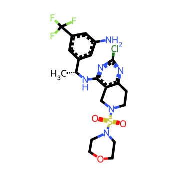 C[C@@H](Nc1nc(Cl)nc2c1CN(S(=O)(=O)N1CCOCC1)CC2)c1cc(N)cc(C(F)(F)F)c1